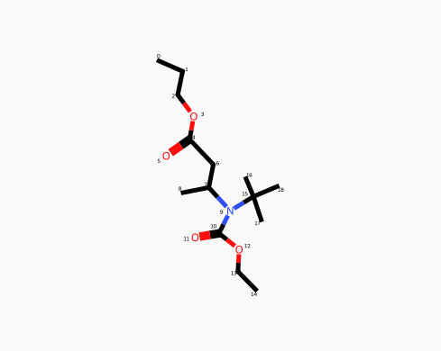 CCCOC(=O)CC(C)N(C(=O)OCC)C(C)(C)C